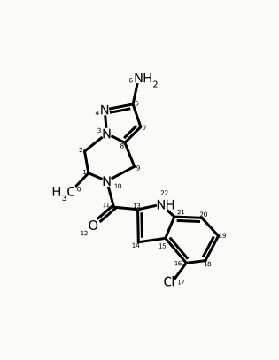 CC1Cn2nc(N)cc2CN1C(=O)c1cc2c(Cl)cccc2[nH]1